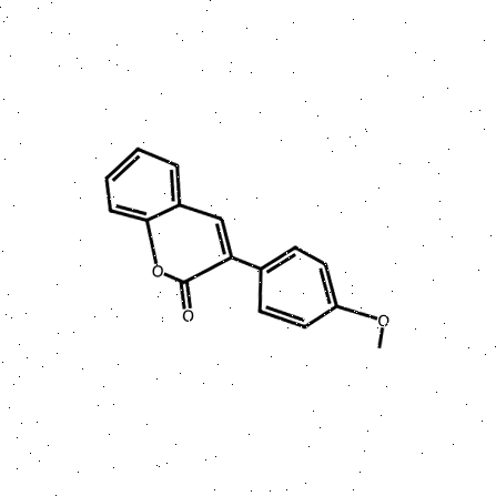 COc1ccc(-c2cc3ccccc3oc2=O)cc1